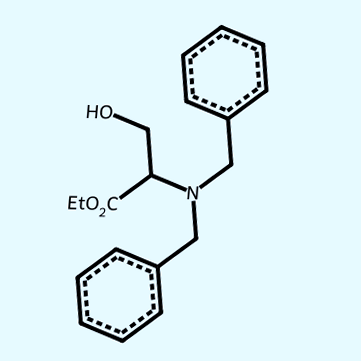 CCOC(=O)C(CO)N(Cc1ccccc1)Cc1ccccc1